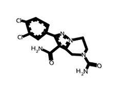 NC(=O)c1c(-c2ccc(Cl)c(Cl)c2)nn2c1CN(C(N)=O)CC2